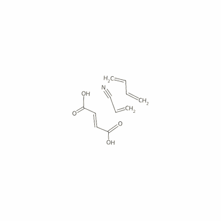 C=CC#N.C=CC=C.O=C(O)/C=C/C(=O)O